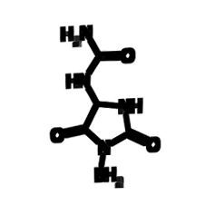 BN1C(=O)NC(NC(N)=O)C1=O